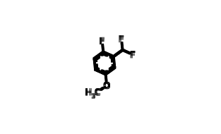 COc1ccc(F)c(C(F)F)c1